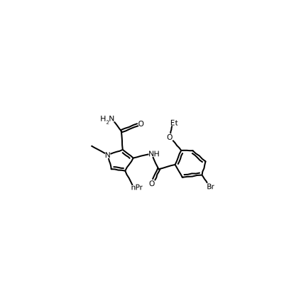 CCCc1cn(C)c(C(N)=O)c1NC(=O)c1cc(Br)ccc1OCC